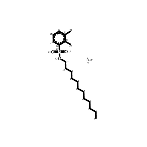 CCCCCCCCCCCCOS(=O)(=O)c1cccc(C)c1C.[Na]